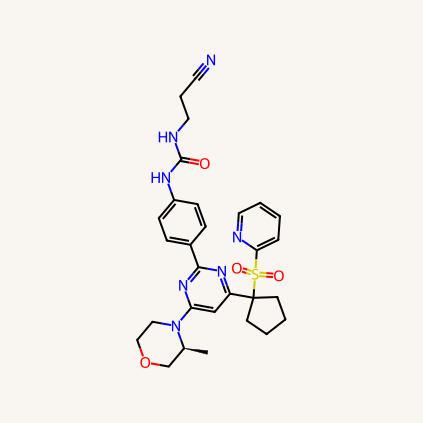 C[C@H]1COCCN1c1cc(C2(S(=O)(=O)c3ccccn3)CCCC2)nc(-c2ccc(NC(=O)NCCC#N)cc2)n1